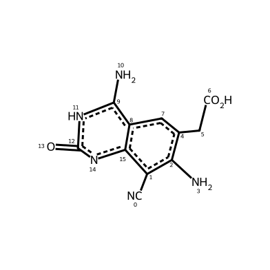 N#Cc1c(N)c(CC(=O)O)cc2c(N)[nH]c(=O)nc12